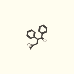 O=C(c1ccccc1)C(CC1CO1)c1ccccc1